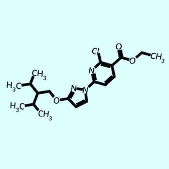 CCOC(=O)c1ccc(-n2ccc(OCC(C(C)C)C(C)C)n2)nc1Cl